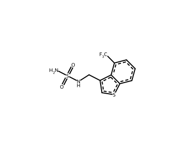 NS(=O)(=O)NCc1csc2cccc(C(F)(F)F)c12